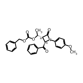 COc1ccc(N2C(=O)[C@@H](C(C)OC(=O)OCc3ccccc3)[C@@H]2C(=O)c2ccccc2)cc1